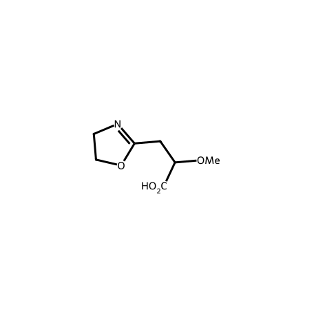 COC(CC1=NCCO1)C(=O)O